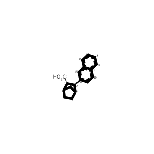 O=C(O)[C@H]1C2CCC(C2)[C@@H]1c1ccc2ccccc2c1